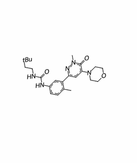 Cc1ccc(NC(=O)NCCC(C)(C)C)cc1-c1cc(N2CCOCC2)c(=O)n(C)n1